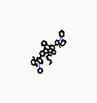 C=C(/C=C\C=C/C)C1(c2ccccc2)c2cc(-c3ccc4c(c3)C3(CC)CCCCC3(C)N4c3ccccc3)ccc2-c2c1c1ccc(-c3ccc4c(c3)C3(CC)CCCCC3(C)N4c3ccccc3)cc1c1ccccc21